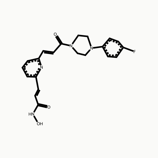 O=C(/C=C/c1cccc(/C=C/C(=O)N2CCN(c3ccc(F)cc3)CC2)n1)NO